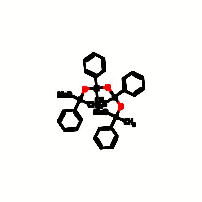 CO[Si](C)(O[Si](C)(O[Si](C)(O[Si](C)(OC)c1ccccc1)c1ccccc1)c1ccccc1)c1ccccc1